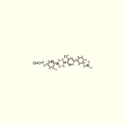 C\C=C(/C=N\C(=C(/C)CC)N1CCN(c2ncc(CCC=O)cc2C)CC1)c1cccc(CN(C)C)c1